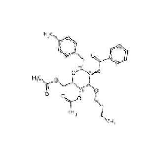 CCCCOC1[C@H](OC(C)=O)C(COC(C)=O)O[C@H](Sc2ccc(C)cc2)[C@H]1OC(=O)c1ccccc1